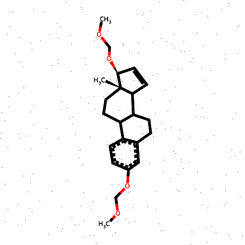 COCOc1ccc2c(c1)CCC1C2CC[C@@]2(C)C1C=C[C@@H]2OCOC